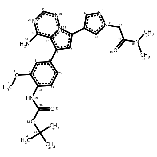 COc1cc(-c2cc(-c3cnn(CC(=O)N(C)C)c3)n3ncnc(N)c23)ccc1NC(=O)OC(C)(C)C